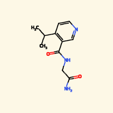 CC(C)c1ccncc1C(=O)NCC(N)=O